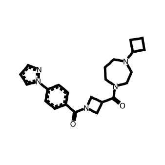 O=C(c1ccc(-n2cccn2)cc1)N1CC(C(=O)N2CCCN(C3CCC3)CC2)C1